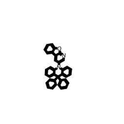 c1ccc(C2(c3ccccc3)c3ccccc3N(c3cnc4oc5ccccc5c4c3)c3ccccc32)cc1